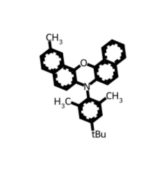 Cc1ccc2ccc3c(c2c1)Oc1c(ccc2ccccc12)N3c1c(C)cc(C(C)(C)C)cc1C